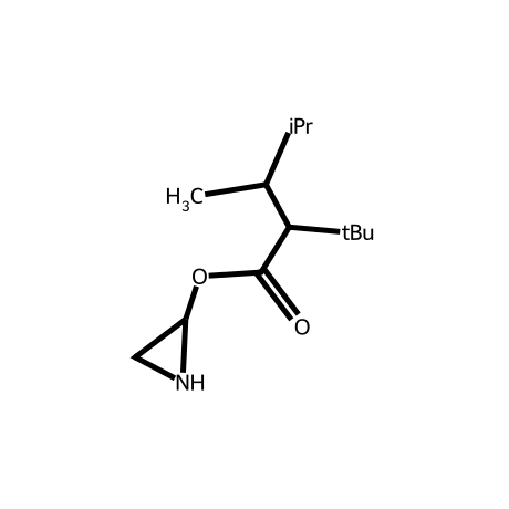 CC(C)C(C)C(C(=O)OC1CN1)C(C)(C)C